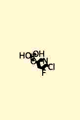 OB(O)Oc1cnc(Cl)c(F)c1